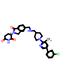 O=C1CC[C@@H](N2Cc3cc(CNCC4CCN(c5ncc(-c6cccc(Cl)c6)cc5C(F)(F)F)CC4)ccc3C2=O)C(=O)N1